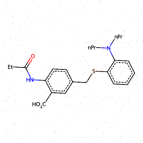 CCCN(CCC)c1ccccc1SCc1ccc(NC(=O)CC)c(C(=O)O)c1